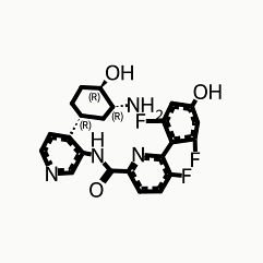 N[C@@H]1C[C@H](c2ccncc2NC(=O)c2ccc(F)c(-c3c(F)cc(O)cc3F)n2)CC[C@H]1O